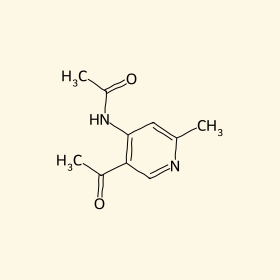 CC(=O)Nc1cc(C)ncc1C(C)=O